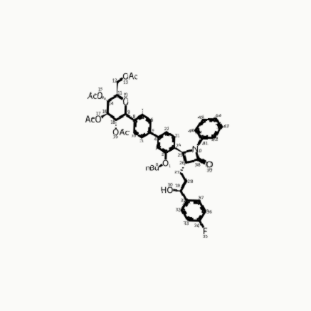 CCCCOc1cc(-c2ccc(C3O[C@H](COC(C)=O)[C@@H](OC(C)=O)[C@H](OC(C)=O)[C@H]3OC(C)=O)cc2)ccc1[C@@H]1[C@@H](CC[C@H](O)c2ccc(F)cc2)C(=O)N1c1ccccc1